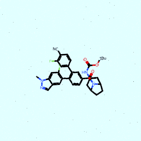 Cn1ncc2cc(-c3ccc(C(=O)N4C5CCC4CC(NC(=O)OC(C)(C)C)C5)cc3-c3ccc(C#N)c(F)c3)c(F)cc21